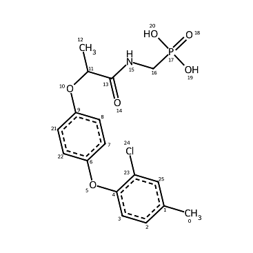 Cc1ccc(Oc2ccc(OC(C)C(=O)NCP(=O)(O)O)cc2)c(Cl)c1